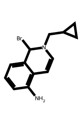 Nc1cccc2c1C=CN(CC1CC1)C2Br